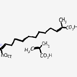 C=C(C)C(=O)O.CCCCCCCC/C=C\CCCCCCCCC=C(C)C(=O)O